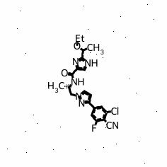 CCOC(C)c1nc(C(=O)N[C@@H](C)Cn2ccc(-c3cc(F)c(C#N)c(Cl)c3)n2)c[nH]1